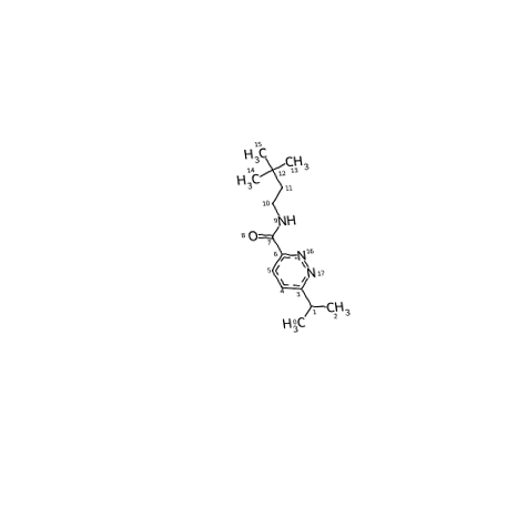 CC(C)c1ccc(C(=O)NCCC(C)(C)C)nn1